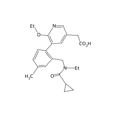 CCOc1ncc(CC(=O)O)cc1-c1ccc(C)cc1CN(CC)C(=O)C1CC1